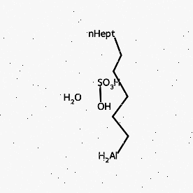 CCCCCCCCCCC[CH2][AlH2].O.O=S(=O)(O)O